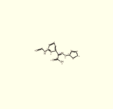 O=CNc1cccc(/C(=N/OC2C=CCC2)C(=O)O)n1